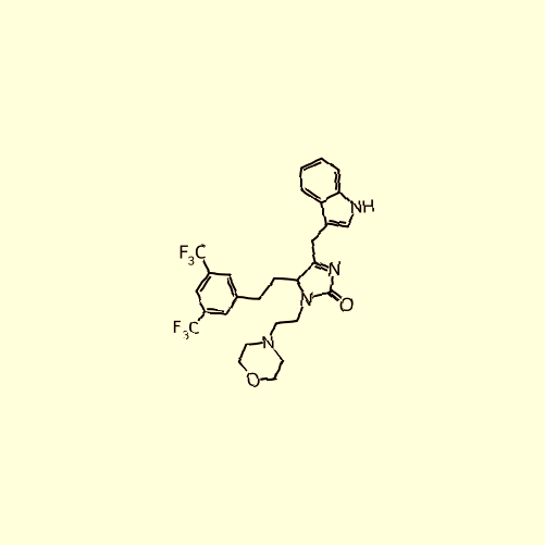 O=C1N=C(Cc2c[nH]c3ccccc23)C(CCc2cc(C(F)(F)F)cc(C(F)(F)F)c2)N1CCN1CCOCC1